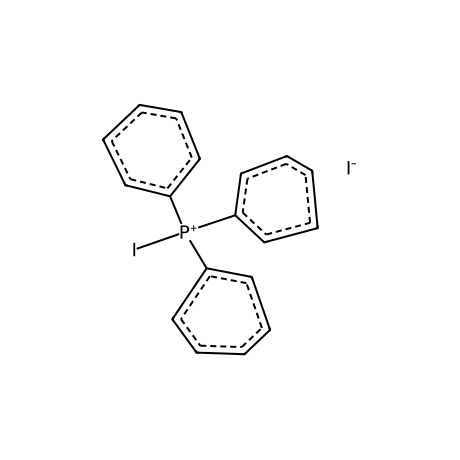 I[P+](c1ccccc1)(c1ccccc1)c1ccccc1.[I-]